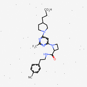 N#Cc1ccc(CCNC(=O)C2CCN2c2cc(N3CCC(CCC(=O)O)CC3)nc(C(F)(F)F)n2)cc1